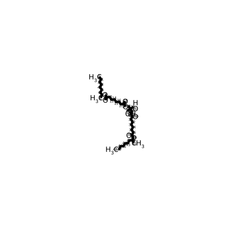 CCCCCCCC(C)OC(=O)CCCCCCC(=O)OCC(CO)(CO)COC(=O)CCCCCCC(=O)OC(C)CCCCCCC